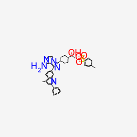 Cc1ccc(S(=O)(=O)OCC(O)C2CCC(c3nc(-c4ccc5c(C)cc(-c6ccccc6)nc5c4)c4c(N)nccn34)CC2)cc1